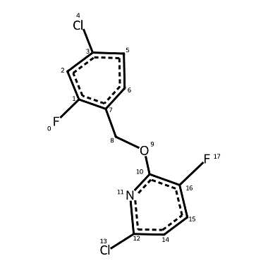 Fc1cc(Cl)ccc1COc1nc(Cl)ccc1F